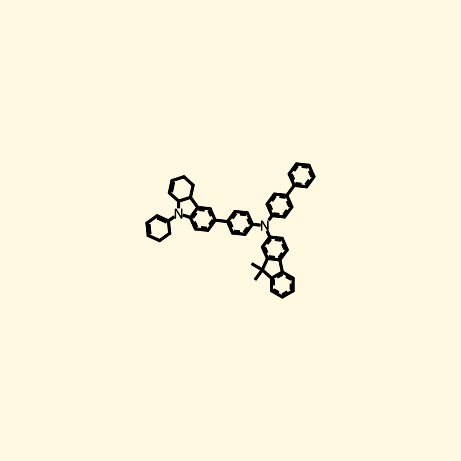 CC1(C)c2ccccc2-c2ccc(N(c3ccc(-c4ccccc4)cc3)c3ccc(-c4ccc5c(c4)C4CCC=CC4N5C4=CC=CCC4)cc3)cc21